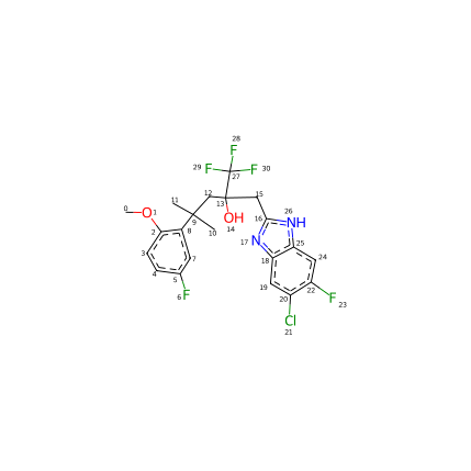 COc1ccc(F)cc1C(C)(C)CC(O)(Cc1nc2cc(Cl)c(F)cc2[nH]1)C(F)(F)F